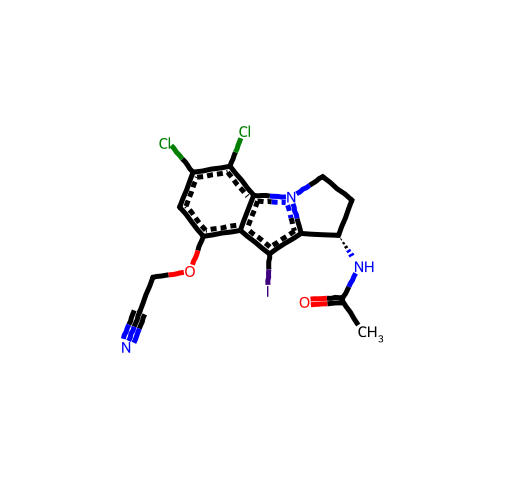 CC(=O)N[C@H]1CCn2c1c(I)c1c(OCC#N)cc(Cl)c(Cl)c12